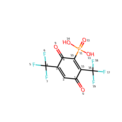 O=C1C=C(C(F)(F)F)C(=O)C(P(=O)(O)O)=C1C(F)(F)F